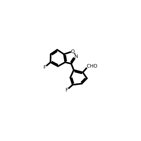 O=Cc1ccc(F)cc1-c1noc2ccc(F)cc12